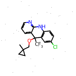 CC1(COC2(C(F)(F)F)c3cc(Cl)ccc3Nc3ncccc32)CC1